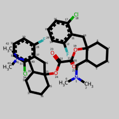 CN(C)CC1CCCCC1(Cc1c(F)cccc1Cl)OC(=O)C(=O)OC1(Cc2c(F)cccc2Cl)CCCCC1CN(C)C